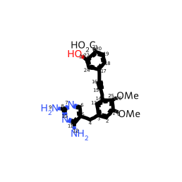 COc1cc(Cc2cnc(N)nc2N)cc(C#Cc2ccc(C(=O)O)c(O)c2)c1OC